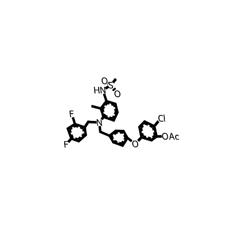 CC(=O)Oc1cc(Oc2ccc(CN(Cc3ccc(F)cc3F)c3cccc(NS(C)(=O)=O)c3C)cc2)ccc1Cl